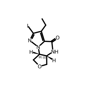 CCc1c(I)nn2c1C(=O)N[C@@H]1COC[C@@H]12